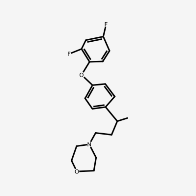 CC(CCN1CCOCC1)c1ccc(Oc2ccc(F)cc2F)cc1